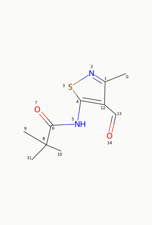 Cc1nsc(NC(=O)C(C)(C)C)c1C=O